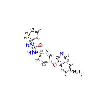 Nc1ccc2c(Oc3ccc(NC(=O)Nc4ccccc4)cc3)cncc2c1